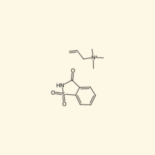 C=CC[N+](C)(C)C.O=C1NS(=O)(=O)c2ccccc21